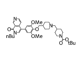 CCCCn1cc(-c2cc(OC)c(OCC3CCN(CC4CCN(C(=O)OC(C)(C)C)CC4)CC3)c(OC)c2)c2ccncc2c1=O